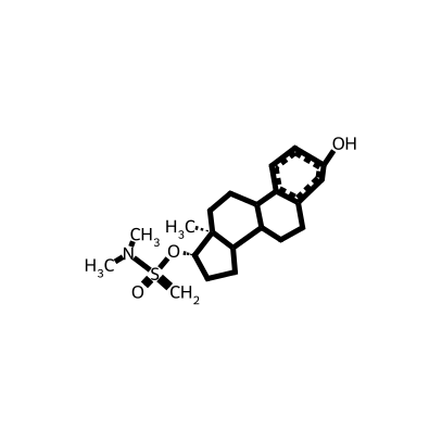 C=S(=O)(O[C@H]1CCC2C3CCc4cc(O)ccc4C3CC[C@@]21C)N(C)C